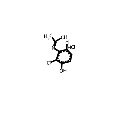 CC(C)=Nc1c(Cl)ccc(O)c1Cl.Cl